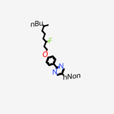 CCCCCCCCCc1cnc(-c2ccc(OCCC(F)CCCC(C)CCCC)cc2)nc1